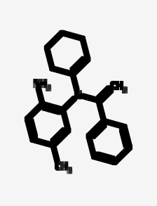 C=C(c1ccccc1)N(C1=CCCCC1)c1cc(C)ccc1N